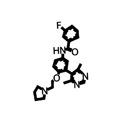 Cc1ncnc(C)c1-c1cc(NC(=O)c2cccc(F)c2)ccc1OCCN1CCCC1